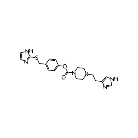 O=C(Oc1ccc(CSc2ncc[nH]2)cc1)N1CCN(CCc2c[nH]cn2)CC1